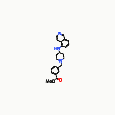 COC(=O)c1cccc(CN2CCC(Nc3cccc4cnccc34)CC2)c1